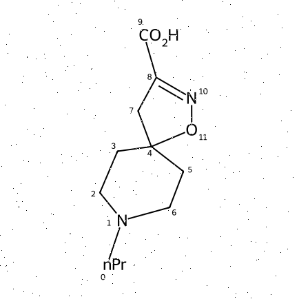 CCCN1CCC2(CC1)CC(C(=O)O)=NO2